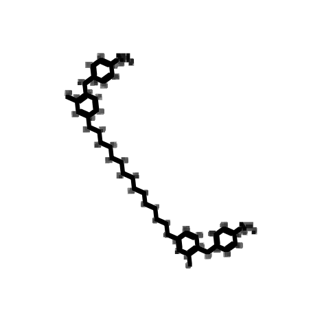 Cc1cc(CCCCCCCCCCCCCCCc2ccc(Cc3ccc(N)cc3)c(C)c2)ccc1Cc1ccc(N)cc1